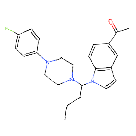 CCCC(N1CCN(c2ccc(F)cc2)CC1)n1ccc2cc(C(C)=O)ccc21